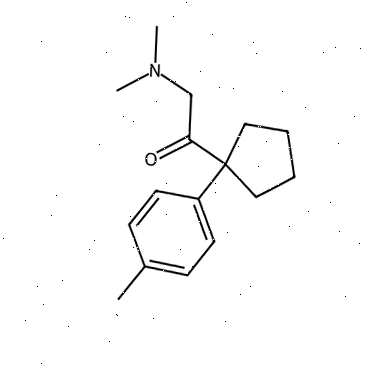 Cc1ccc(C2(C(=O)CN(C)C)CCCC2)cc1